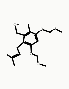 COCOc1cc(OCOC)c(CC=C(C)C)c(CO)c1C